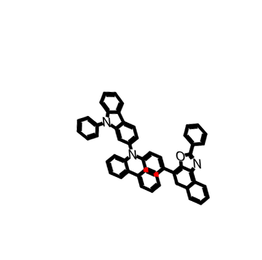 C1=CC2=c3nc(-c4ccccc4)oc3=C(c3ccc(N(c4ccc5c6ccccc6n(-c6ccccc6)c5c4)c4ccccc4-c4ccccc4)cc3)CC2C=C1